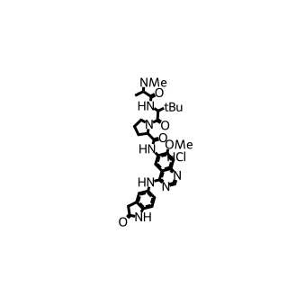 CNC(C)C(=O)NC(C(=O)N1CCCC1C(=O)Nc1cc2c(Nc3ccc4c(c3)CC(=O)N4)ncnc2cc1OC)C(C)(C)C.Cl